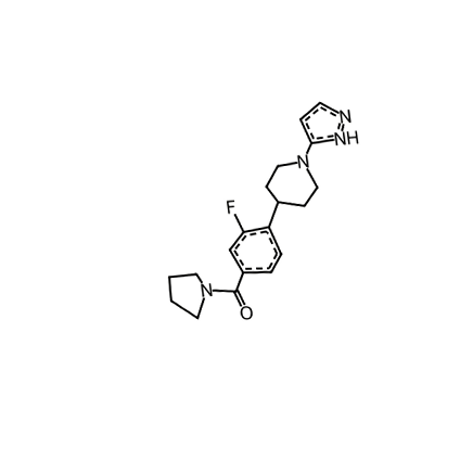 O=C(c1ccc(C2CCN(c3ccn[nH]3)CC2)c(F)c1)N1CCCC1